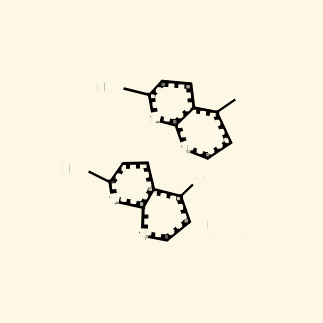 Cc1ccc2c(O)ccnc2n1.Cc1ccc2c(O)ccnc2n1.[Cl-].[Cl-].[Fe+2]